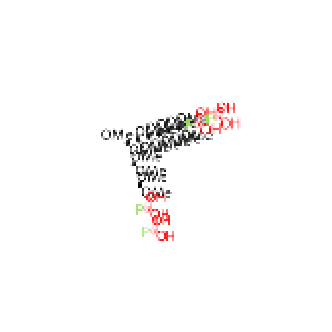 COCOC.COCOC.COCOC.COCOC.COCOC.COCOC.COCOC.COCOC.OB(O)F.OB(O)F.OB(O)F.OB(O)F